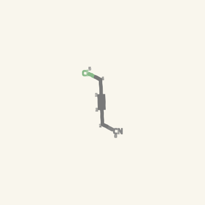 N#CCC#CCCl